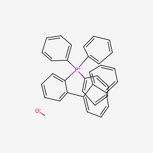 C[O-].c1ccc([P+](c2ccccc2)(c2ccccc2)c2ccccc2-c2cccc3ccccc23)cc1